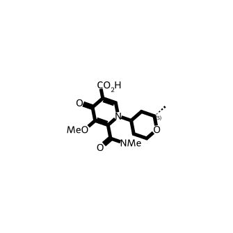 CNC(=O)c1c(OC)c(=O)c(C(=O)O)cn1C1CCO[C@@H](C)C1